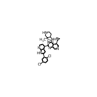 CC1(C)CNCCC1Nc1nc(-c2ccnc3[nH]c(-c4cc(Cl)ccc4Cl)cc23)nc2cncc(C3CC3)c12